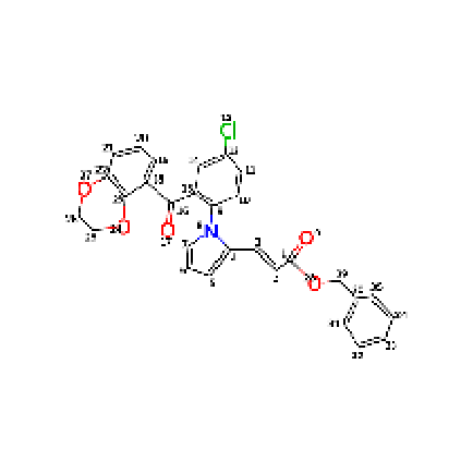 O=C(/C=C/c1cccn1-c1ccc(Cl)cc1C(=O)c1cccc2c1OCCO2)OCc1ccccc1